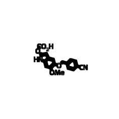 COc1cc2[nH]c(OC(=O)O)cc2cc1OCc1ccc(C#N)cc1